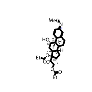 CCC(=O)OCC(=O)[C@@]1(OC(=O)CC)[C@@H](C)C[C@H]2[C@@H]3CCC4=C/C(=N/OC)C=C[C@]4(C)[C@@]3(F)[C@@H](O)C[C@@]21C